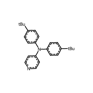 CC(C)(C)c1ccc(N(c2ccncc2)c2ccc(C(C)(C)C)cc2)cc1